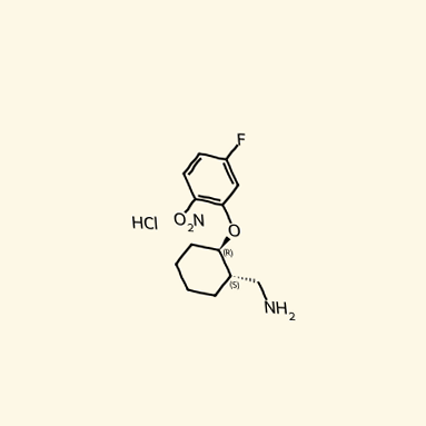 Cl.NC[C@@H]1CCCC[C@H]1Oc1cc(F)ccc1[N+](=O)[O-]